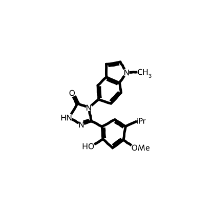 COc1cc(O)c(-c2n[nH]c(=O)n2-c2ccc3c(ccn3C)c2)cc1C(C)C